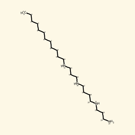 CCCCCCCCCCCCNCCCNCCCCNCCCN